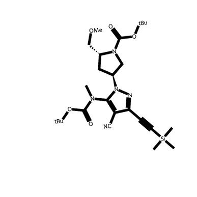 COC[C@H]1C[C@H](n2nc(C#C[Si](C)(C)C)c(C#N)c2N(C)C(=O)OC(C)(C)C)CN1C(=O)OC(C)(C)C